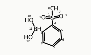 CS(=O)(=O)c1ccccc1.OBO